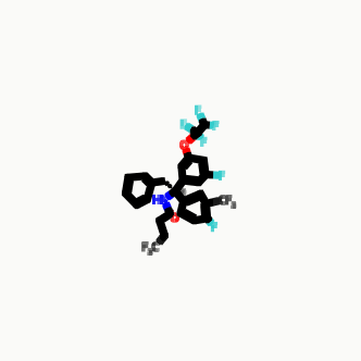 O=C(CCC(F)(F)F)N[C@@](Cc1ccccc1)(c1cc(F)cc(OC(F)(F)C(F)F)c1)c1ccc(F)c(C(F)(F)F)c1